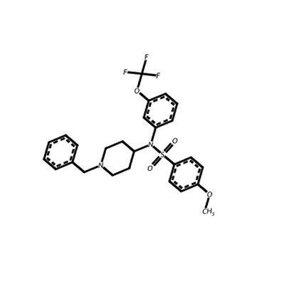 COc1ccc(S(=O)(=O)N(c2cccc(OC(F)(F)F)c2)C2CCN(Cc3ccccc3)CC2)cc1